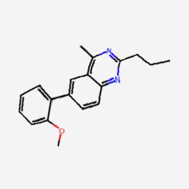 CCCc1nc(C)c2cc(-c3ccccc3OC)ccc2n1